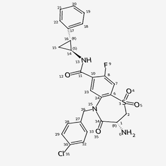 N[C@H]1CS(=O)(=O)c2cc(F)c(C(=O)N[C@H]3C[C@@H]3c3ccccc3)cc2N(Cc2ccc(Cl)cc2)C1=O